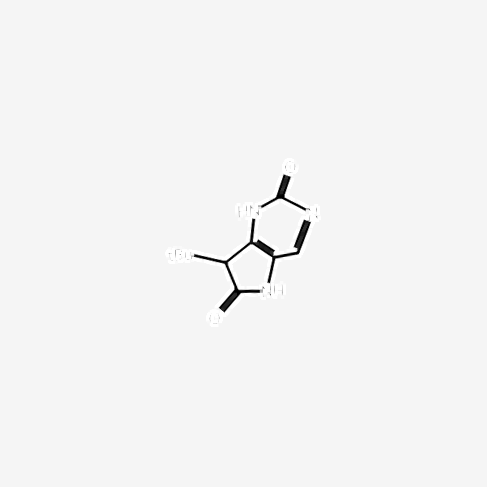 CC(C)(C)C1C(=O)Nc2cnc(=O)[nH]c21